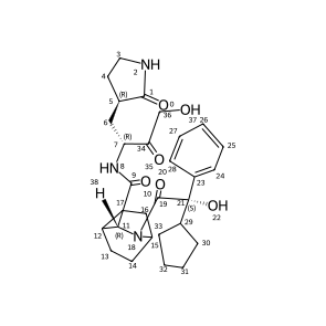 O=C1NCC[C@@H]1C[C@@H](NC(=O)[C@H]1C2CCC(CC2)N1C(=O)[C@@](O)(c1ccccc1)C1CCCC1)C(=O)CO